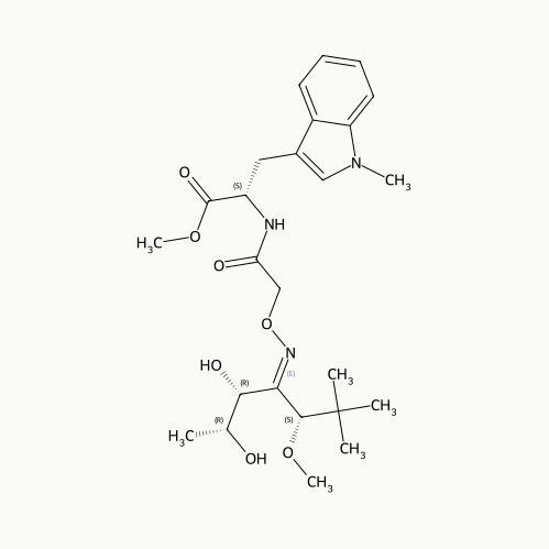 COC(=O)[C@H](Cc1cn(C)c2ccccc12)NC(=O)CO/N=C(\[C@@H](O)[C@@H](C)O)[C@@H](OC)C(C)(C)C